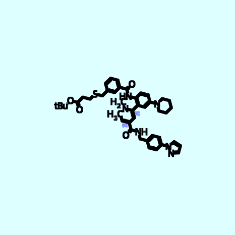 C=N/C(=C\C(=C/C)C(=O)NCc1ccc(-n2cccn2)cc1)c1cc(N2CCCCC2)ccc1NC(=O)c1cccc(CSCCC(=O)OC(C)(C)C)c1